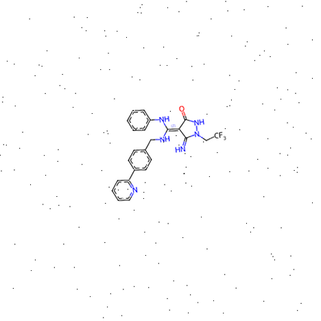 N=C1/C(=C(\NCc2ccc(-c3ccccn3)cc2)Nc2ccccc2)C(=O)NN1CC(F)(F)F